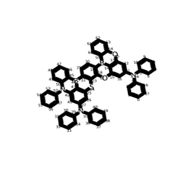 c1ccc(N(c2ccccc2)c2cc3c4c(c2)Oc2c(ccc5c2Sc2cc(N(c6ccccc6)c6ccccc6)cc6c2B5c2ccccc2N6c2ccccc2)B4c2ccccc2O3)cc1